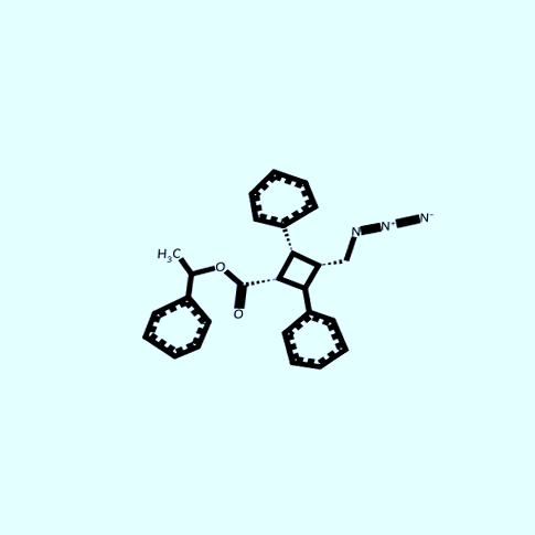 CC(OC(=O)[C@H]1C(c2ccccc2)[C@@H](CN=[N+]=[N-])[C@H]1c1ccccc1)c1ccccc1